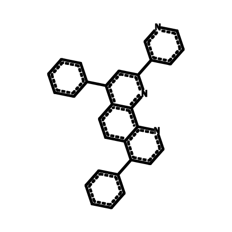 c1ccc(-c2ccnc3c2ccc2c(-c4ccccc4)cc(-c4cccnc4)nc23)cc1